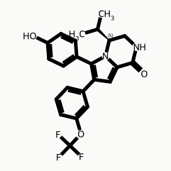 CC(C)[C@H]1CNC(=O)c2cc(-c3cccc(OC(F)(F)F)c3)c(-c3ccc(O)cc3)n21